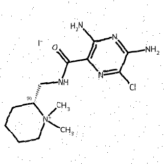 C[N+]1(C)CCCC[C@@H]1CNC(=O)c1nc(Cl)c(N)nc1N.[I-]